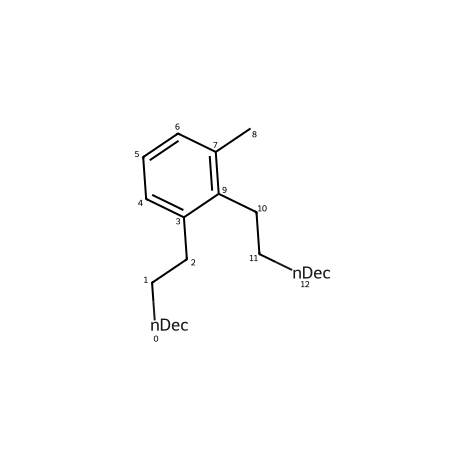 CCCCCCCCCCCCc1cccc(C)c1CCCCCCCCCCCC